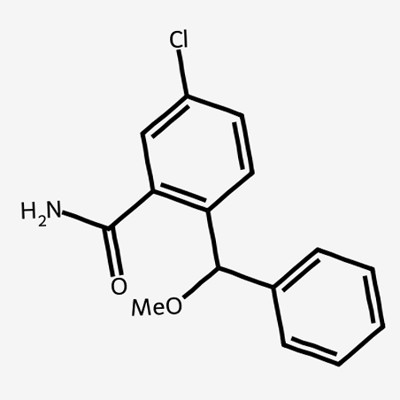 COC(c1ccccc1)c1ccc(Cl)cc1C(N)=O